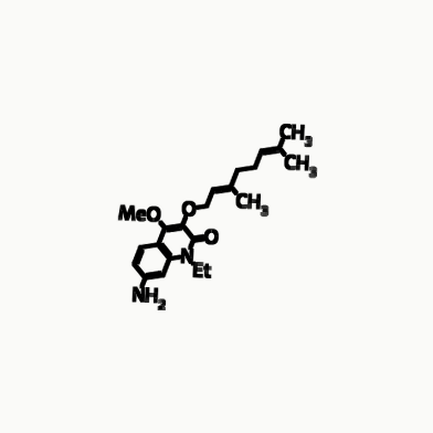 CCn1c(=O)c(OC/C=C(\C)CCC=C(C)C)c(OC)c2ccc(N)cc21